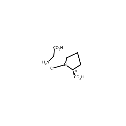 NCC(=O)O.O=C(O)[C@@H]1CCCN1Cl